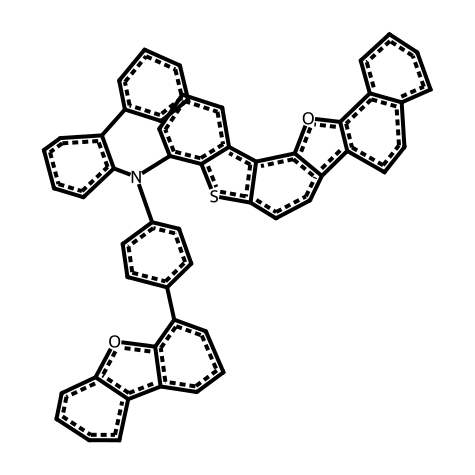 c1ccc(-c2ccccc2N(c2ccc(-c3cccc4c3oc3ccccc34)cc2)c2cccc3c2sc2ccc4c5ccc6ccccc6c5oc4c23)cc1